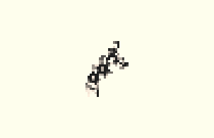 [2H]C([2H])([2H])Oc1cccc(-c2c(F)c(F)c(NC(=O)c3nc(Cl)sc3C(=O)OCC)c(F)c2F)c1